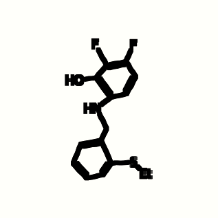 CCSc1ccccc1CNc1ccc(F)c(F)c1O